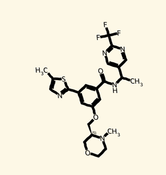 Cc1cnc(-c2cc(OC[C@@H]3COCCN3C)cc(C(=O)NC(C)c3cnc(C(F)(F)F)nc3)c2)s1